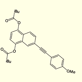 CCC(C)C(=O)Oc1ccc(OC(=O)C(C)CC)c2cc(C#Cc3ccc(OC)cc3)ccc12